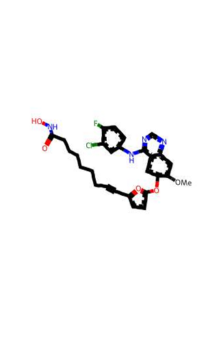 COc1cc2ncnc(Nc3ccc(F)c(Cl)c3)c2cc1Oc1ccc(C#CCCCCCCC(=O)NO)o1